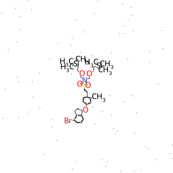 Cc1cc(OC2CCc3c(Br)cccc32)ccc1C=CS(=O)(=O)N(COCC[Si](C)(C)C)COCC[Si](C)(C)C